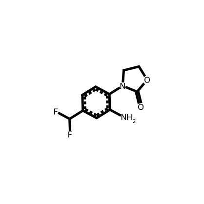 Nc1cc(C(F)F)ccc1N1CCOC1=O